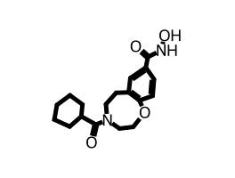 O=C(NO)c1ccc2c(c1)CCN(C(=O)C1CCCCC1)CCO2